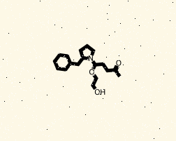 CC(=O)CCC(OCCO)N1CCCC1CC1CCCCC1